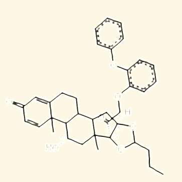 CCCC1O[C@@H]2CC3C4CCC5=CC(=O)C=CC5(C)C4[C@@H](O)CC3(C)[C@]2(C(=O)COc2ccccc2Oc2ccccc2)O1